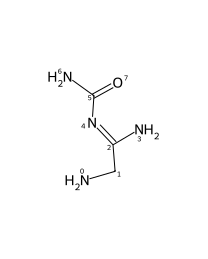 NCC(N)=NC(N)=O